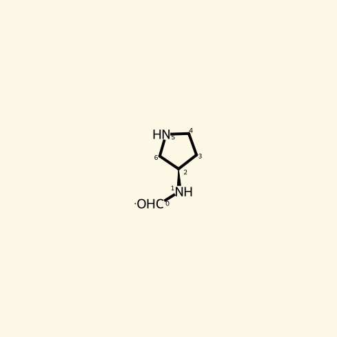 O=[C]N[C@@H]1CCNC1